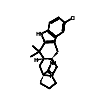 CC1(C)c2[nH]c3ccc(Cl)cc3c2C[C@@]23CN4CCC[C@]4(C[C@@H]12)C(=O)N3